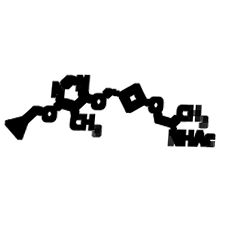 CC(=O)N[C@@H](C)CO[C@H]1C[C@H](COc2ncnc(OCC3CC3)c2C)C1